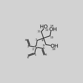 C=CS(C=C)(C=C)CC(CO)(CO)CO